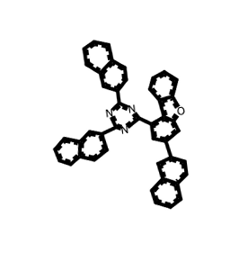 c1ccc2cc(-c3cc(-c4nc(-c5ccc6ccccc6c5)nc(-c5ccc6ccccc6c5)n4)c4c(c3)oc3ccccc34)ccc2c1